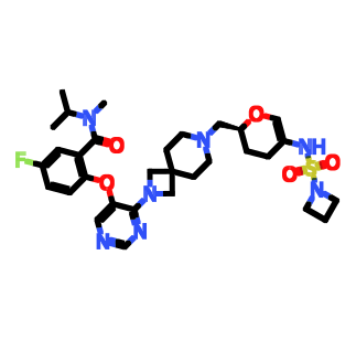 CC(C)N(C)C(=O)c1cc(F)ccc1Oc1cncnc1N1CC2(CCN(C[C@@H]3CCC(NS(=O)(=O)N4CCC4)=CO3)CC2)C1